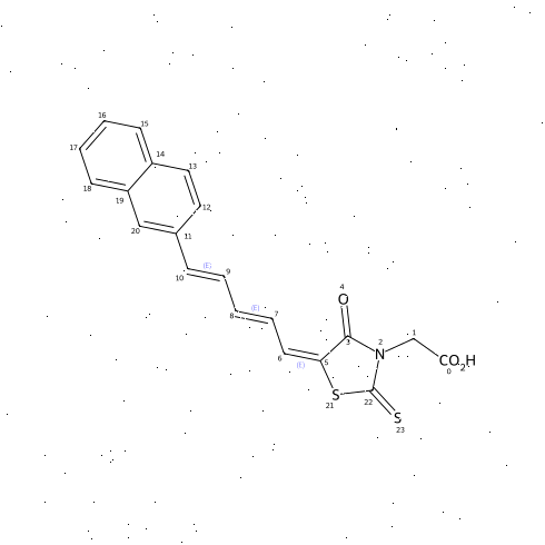 O=C(O)CN1C(=O)\C(=C/C=C/C=C/c2ccc3ccccc3c2)SC1=S